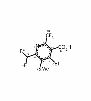 CCc1c(SC)c(C(F)F)nc(C(F)(F)F)c1C(=O)O